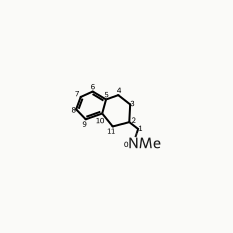 CNCC1CCc2ccccc2C1